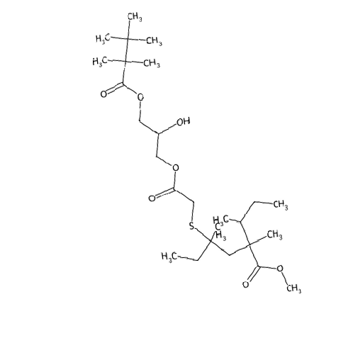 CCC(C)C(C)(CC(C)(CC)SCC(=O)OCC(O)COC(=O)C(C)(C)C(C)(C)C)C(=O)OC